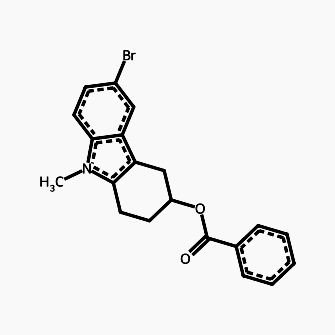 Cn1c2c(c3cc(Br)ccc31)CC(OC(=O)c1ccccc1)CC2